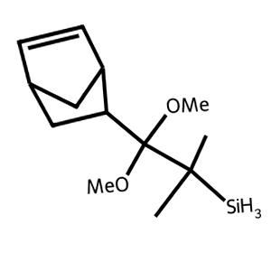 COC(OC)(C1CC2C=CC1C2)C(C)(C)[SiH3]